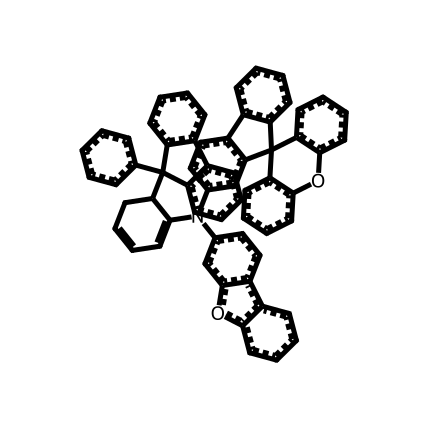 C1=CCC(C2(c3ccccc3)c3ccccc3-c3ccccc32)C(N(c2ccc3c(c2)C2(c4ccccc4Oc4ccccc42)c2ccccc2-3)c2ccc3c(c2)oc2ccccc23)=C1